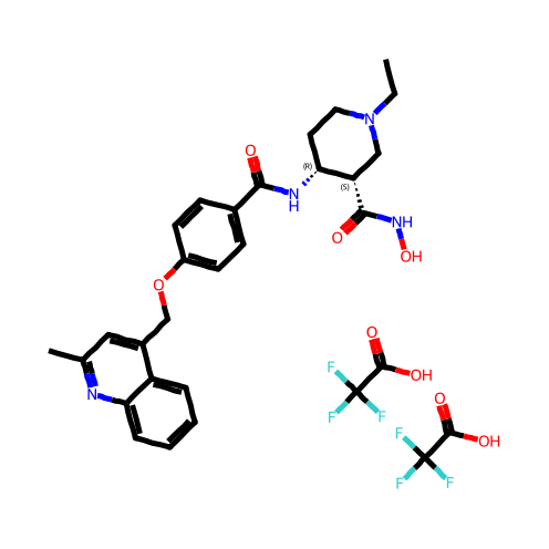 CCN1CC[C@@H](NC(=O)c2ccc(OCc3cc(C)nc4ccccc34)cc2)[C@@H](C(=O)NO)C1.O=C(O)C(F)(F)F.O=C(O)C(F)(F)F